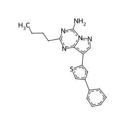 CCCCc1nc(N)n2ncc(-c3cc(-c4ccccc4)cs3)c2n1